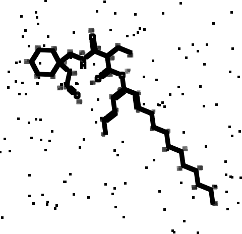 CC=CC=C(C=CCCCCCCCCCC)OC(=O)C(CC)C(=O)NCC1(SN=O)CCCCC1